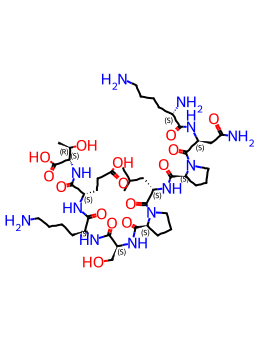 CC(C)C[C@H](NC(=O)[C@@H]1CCCN1C(=O)[C@H](CC(N)=O)NC(=O)[C@@H](N)CCCCN)C(=O)N1CCC[C@H]1C(=O)N[C@@H](CO)C(=O)N[C@@H](CCCCN)C(=O)N[C@@H](CCC(=O)O)C(=O)N[C@H](C(=O)O)[C@@H](C)O